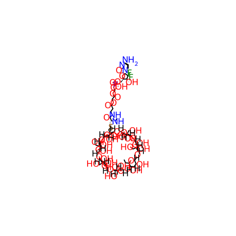 CCC1O[C@@H]2O[C@@H]3C(CO)O[C@@H](O[C@@H]4C(CO)O[C@H](O[C@@H]5C(CSC[C@@H](NC)C(=O)NCCC(=O)OCC(=O)OCOP(=O)(O)OC[C@H]6O[C@@H](n7ccc(N)nc7=O)C(F)(F)[C@@H]6O)O[C@@H](O[C@@H]6C(CO)O[C@H](O[C@@H]7C(CO)O[C@H](O[C@@H]8C(CO)O[C@H](O[C@H]1[C@H](O)C2O)C(O)[C@H]8O)C(O)[C@H]7O)C(O)[C@H]6O)C(O)[C@H]5O)C(O)[C@H]4O)C(O)[C@H]3O